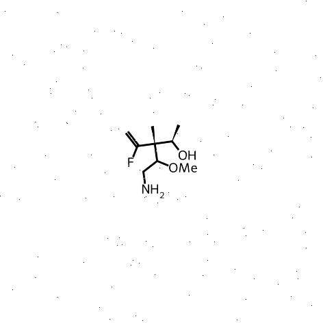 C=C(F)[C@@](C)(C(CN)OC)[C@@H](C)O